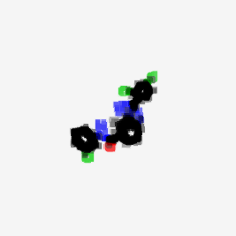 O=C(Nc1cccc(Cl)c1)c1ccc2nc(-c3ccc(Cl)cc3Cl)[nH]c2c1